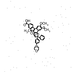 COc1cc2c3c(c4c(c2cc1OC)-c1ccc(C(=O)O)cc1C4(C)C)C=CC(c1ccccc1)(c1ccc(N2CCOCC2)cc1)O3